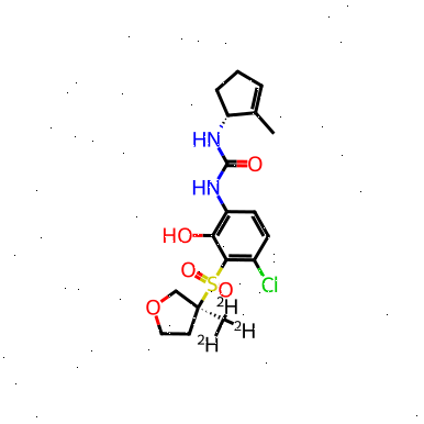 [2H]C([2H])([2H])[C@]1(S(=O)(=O)c2c(Cl)ccc(NC(=O)N[C@@H]3CCC=C3C)c2O)CCOC1